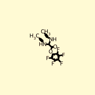 CC#CNC(NC#CC)C(=O)Oc1c(F)c(F)c(F)c(F)c1F